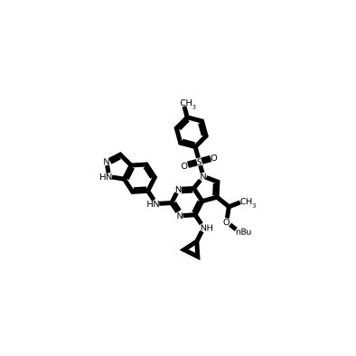 CCCCOC(C)c1cn(S(=O)(=O)c2ccc(C)cc2)c2nc(Nc3ccc4cn[nH]c4c3)nc(NC3CC3)c12